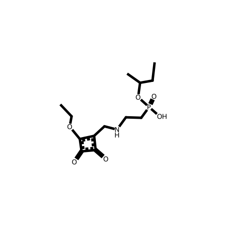 CCOc1c(CNCCP(=O)(O)OC(C)CC)c(=O)c1=O